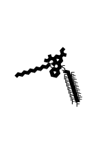 CCCCCCCCCCCCOc1c(C(C)CC)cc(C(C)CC)cc1C(SCCC(F)(F)C(F)(F)C(F)(F)C(F)(F)C(F)(F)C(F)(F)C(F)(F)C(F)(F)F)c1ccccc1